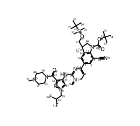 C=N/C(=N\C(=C/C)c1cc(C#N)c2c(c1)[C@@](C)(CO[Si](C)(C)C(C)(C)C)CN2C(=O)OC(C)(C)C)Nc1cn(CC(F)F)nc1C(=O)N1CCN(C)CC1